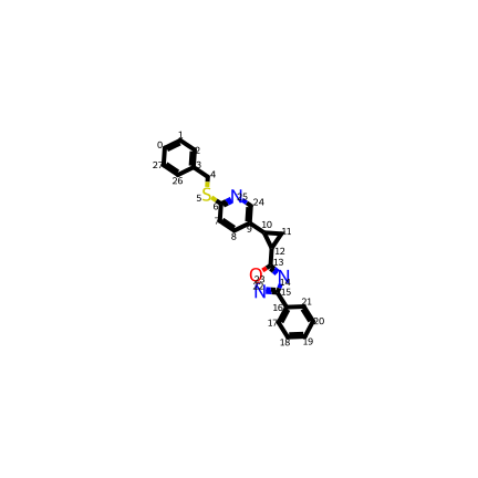 c1ccc(CSc2ccc(C3CC3c3nc(-c4ccccc4)no3)cn2)cc1